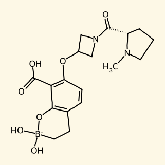 CN1CCC[C@H]1C(=O)N1CC(Oc2ccc3c(c2C(=O)O)O[B-](O)(O)CC3)C1